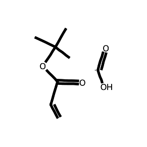 C=CC(=O)OC(C)(C)C.O=[C]O